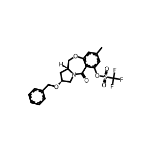 Cc1cc2c(c(OS(=O)(=O)C(F)(F)F)c1)C(=O)N1C[C@@H](OCc3ccccc3)C[C@@H]1CO2